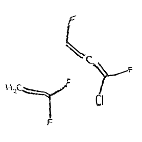 C=C(F)F.FC=C=C(F)Cl